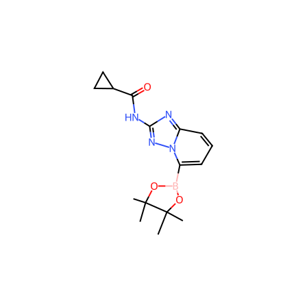 CC1(C)OB(c2cccc3nc(NC(=O)C4CC4)nn23)OC1(C)C